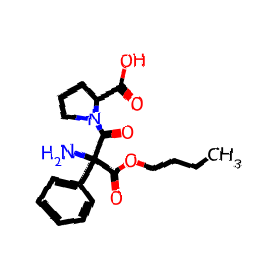 CCCCOC(=O)C(N)(C(=O)N1CCCC1C(=O)O)c1ccccc1